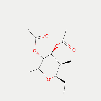 CC[C@H]1OC(C)[C@H](OC(C)=O)[C@@H](OC(C)=O)[C@H]1C